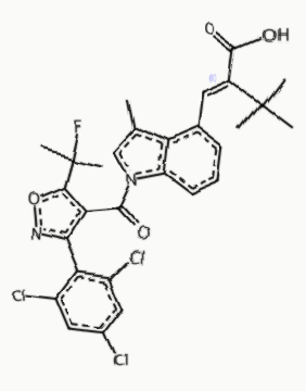 Cc1cn(C(=O)c2c(-c3c(Cl)cc(Cl)cc3Cl)noc2C(C)(C)F)c2cccc(/C=C(/C(=O)O)C(C)(C)C)c12